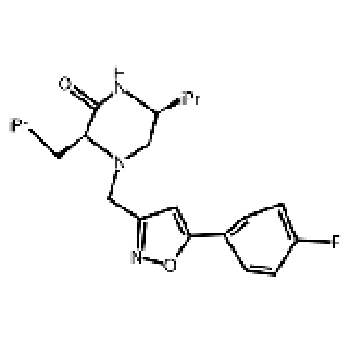 CC(C)C[C@H]1C(=O)N[C@@H](C(C)C)CN1Cc1cc(-c2ccc(F)cc2)on1